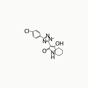 Cn1nc(-c2ccc(Cl)cc2)nc1C1=C(O)C2(CCCCC2)NC1=O